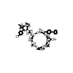 Cc1sc2c(c1C)C(c1ccc(Cl)cc1)=N[C@@H](CC(=O)NC[C@H]1CCCNC(=O)[C@@H](Cc3ccc(-c4ccccc4)cc3)NC(=O)[C@@H]3C[C@@H](O)CN3C(=O)[C@H](C(C)(C)C)n3cc(nn3)C3(CC3)CNC(=O)CNC1=O)c1nnc(C)n1-2